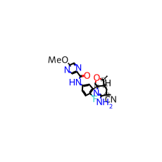 COc1cnc(C(=O)Nc2ccc(F)c([C@@]34CO[C@@H](C)[C@@H]3C[C@](C)(C#N)C(N)=N4)c2)cn1